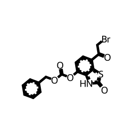 O=C(OCc1ccccc1)Oc1ccc(C(=O)CBr)c2sc(=O)[nH]c12